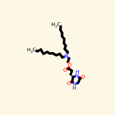 CCCCCCCCCCN(CCCCCCCCCC)CCOC(=O)CC[C@@H]1NC(=O)CNC1=O